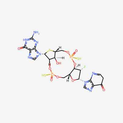 Nc1nc2c(ncn2[C@@H]2S[C@@H]3CO[P@@](=O)(S)O[C@H]4[C@H](F)[C@H](n5cnc6c5N=CCC6=O)O[C@@H]4CO[P@@](=O)(S)O[C@@H]2[C@@H]3O)c(=O)[nH]1